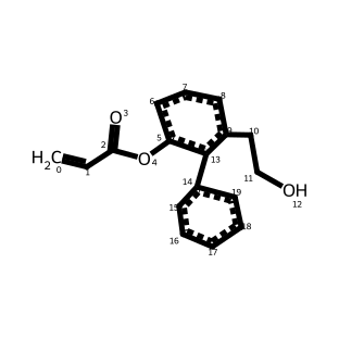 C=CC(=O)Oc1cccc(CCO)c1-c1ccccc1